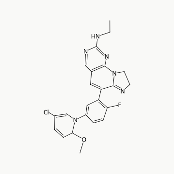 CCNc1ncc2c(n1)N1CCN=C1C(c1cc(N3C=C(Cl)C=CC3OC)ccc1F)=C2